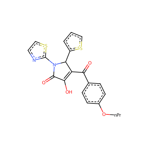 CCCOc1ccc(C(=O)C2=C(O)C(=O)N(c3nccs3)C2c2cccs2)cc1